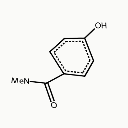 [CH2-][NH2+]C(=O)c1ccc(O)cc1